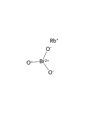 [O-][Br+2]([O-])[O-].[Rb+]